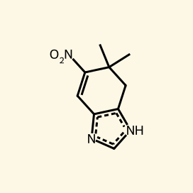 CC1(C)Cc2[nH]cnc2C=C1[N+](=O)[O-]